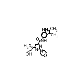 Cc1[nH]c2ccc(NC(=O)c3cc(N(C)CCO)nc(N4CCOCC4)n3)cc2c1C